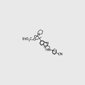 CCOC(=O)COCC(C)(C(=O)N1CCCC1)c1ccc2c(c1)nc(CNc1ccc(C#N)cc1)n2C